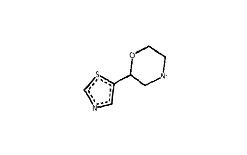 c1ncc(C2C[N]CCO2)s1